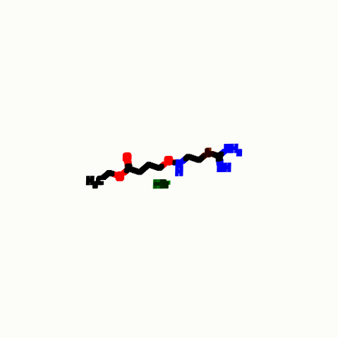 Br.CCOC(=O)CCCONCCSC(=N)N